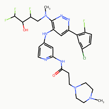 CN1CCN(CCC(=O)Nc2cc(Nc3cc(-c4cc(Cl)ccc4F)nnc3N(C)CC(F)C(O)C(F)F)ccn2)CC1